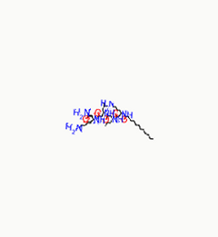 CCCCCCCCCCCC(=O)NC(CCCCN)CC(=O)NC(CCC)CC(=O)NC(CC(=O)NC(CCCCN)CC(N)=O)CC(C)C